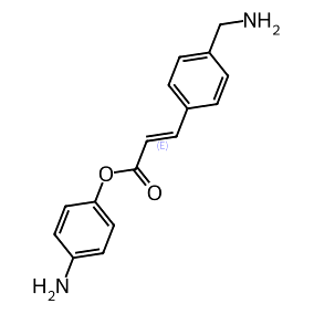 NCc1ccc(/C=C/C(=O)Oc2ccc(N)cc2)cc1